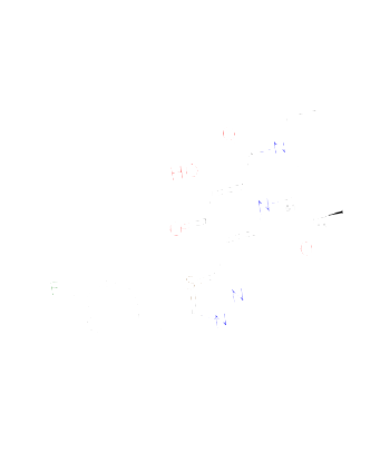 CCN1C[C@H]([C@@H](C)OC)n2cc(-c3nnc(Cc4ccc(F)cc4)s3)c(=O)c(O)c2C1=O